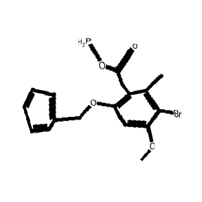 COc1cc(OCc2ccccc2)c(C(=O)OP)c(C)c1Br